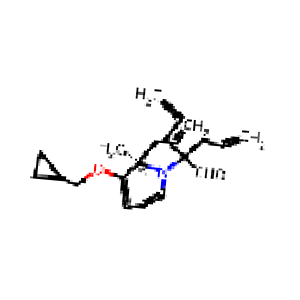 C=CCC(C=O)(CC=C)N1C=CC=C(OCC2CC2)[C@@]1(C)CC=C